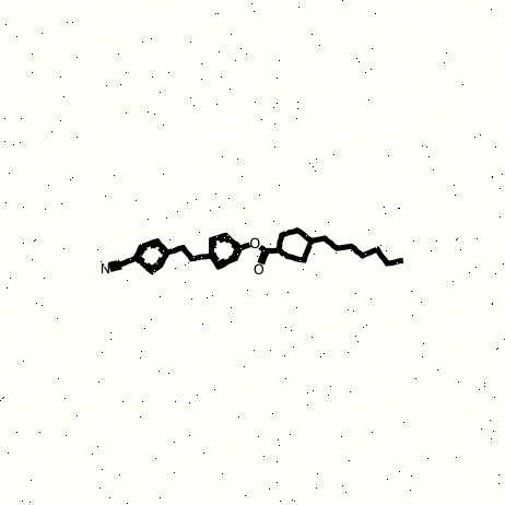 CCCCCCCC1CCC(C(=O)Oc2ccc(CCc3ccc(C#N)cc3)cc2)CC1